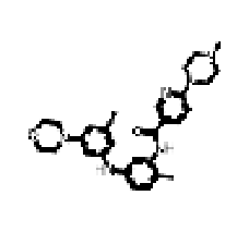 Cc1ccc(Nc2cc(F)cc(N3CCOCC3)c2)cc1NC(=O)c1ccc(N2CCN(C)CC2)nc1